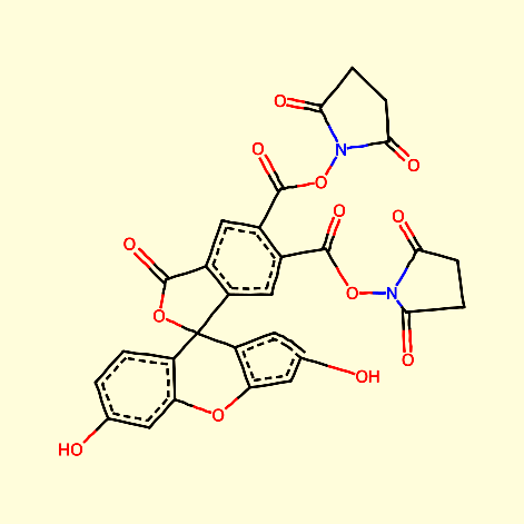 O=C(ON1C(=O)CCC1=O)c1cc2c(cc1C(=O)ON1C(=O)CCC1=O)C1(OC2=O)c2ccc(O)cc2Oc2cc(O)ccc21